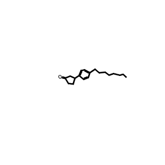 CCCCCCCCc1ccc(C2CCC(=O)C2)cc1